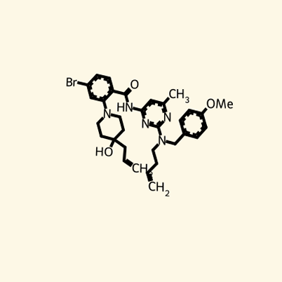 C=CCCN(Cc1ccc(OC)cc1)c1nc(C)cc(NC(=O)c2ccc(Br)cc2N2CCC(O)(CC=C)CC2)n1